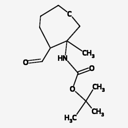 CC(C)(C)OC(=O)NC1(C)CCCCCC1C=O